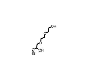 CCOC(O)COCCOCCO